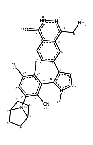 Cn1ncc(-c2ccc3c(=O)[nH]nc(CN)c3c2)c1-c1c(F)c(Cl)cc(N2C3CCC2CC3)c1C#N